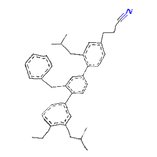 CCc1ccc(-c2ccc(-c3ccc(CCC#N)cc3CC(C)C)cc2Cc2ccccc2)cc1CC(C)C